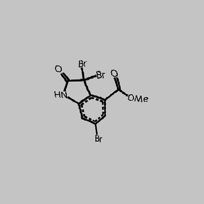 COC(=O)c1cc(Br)cc2c1C(Br)(Br)C(=O)N2